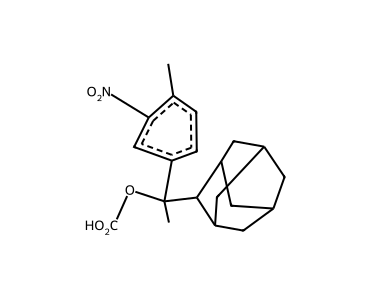 Cc1ccc(C(C)(OC(=O)O)C2C3CC4CC(C3)CC2C4)cc1[N+](=O)[O-]